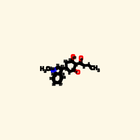 CCCC(=O)C1C(=O)CC(c2cn(C)c3ccccc23)CC1=O